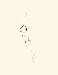 C=CC(=O)COc1ccc(C(=O)Oc2ccc(C(=O)OC3CCC(C(=O)O)CC3)cc2)cc1